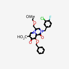 COCOCc1cn(Cc2ccc(F)c(Cl)c2)c(=O)c2c(OCc3ccccc3)c(=O)c(C(=O)O)cn12